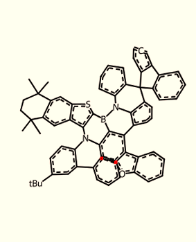 CC(C)(C)c1ccc(N2c3cc4oc5ccccc5c4c4c3B(c3sc5cc6c(cc5c32)C(C)(C)CCC6(C)C)N2c3ccccc3C3(c5ccccc5-c5ccccc53)c3cccc-4c32)c(-c2ccccc2)c1